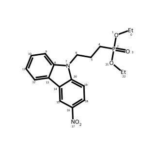 CCOP(=O)(CCCn1c2ccccc2c2cc([N+](=O)[O-])ccc21)OCC